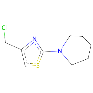 ClCc1csc(N2CCCCC2)n1